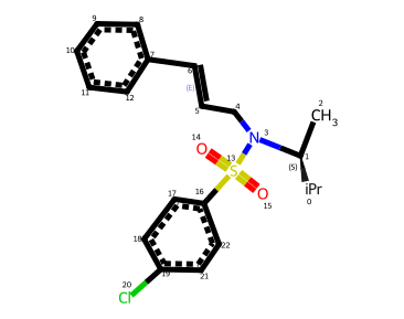 CC(C)[C@H](C)N(C/C=C/c1ccccc1)S(=O)(=O)c1ccc(Cl)cc1